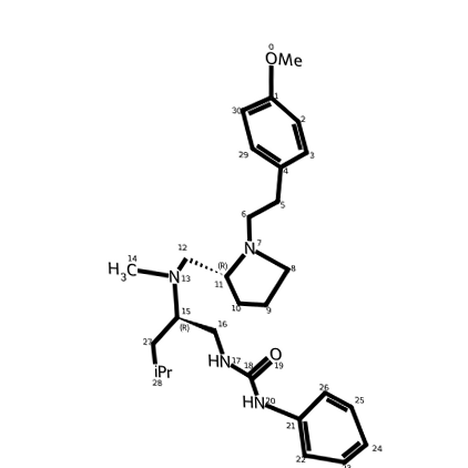 COc1ccc(CCN2CCC[C@@H]2CN(C)[C@@H](CNC(=O)Nc2ccccc2)CC(C)C)cc1